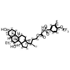 CC[C@H]1[C@@H](O)[C@@H]2[C@H](CC[C@]3(C)[C@@H]([C@H](C)CCOC(=O)NS(=O)(=O)c4ccc(OC(F)(F)F)c(F)c4)CC[C@@H]23)[C@@]2(C)CC[C@@H](O)C[C@@H]12